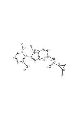 COc1cccc(OC)c1-c1cc2cc(NC(=O)C3CC3F)ncc2n1C